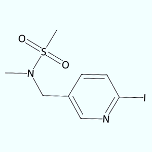 CN(Cc1ccc(I)nc1)S(C)(=O)=O